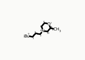 CCC(C)CCCN1CCOC(C)C1